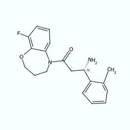 Cc1ccccc1[C@@H](N)CC(=O)N1CCCOc2c(F)cccc21